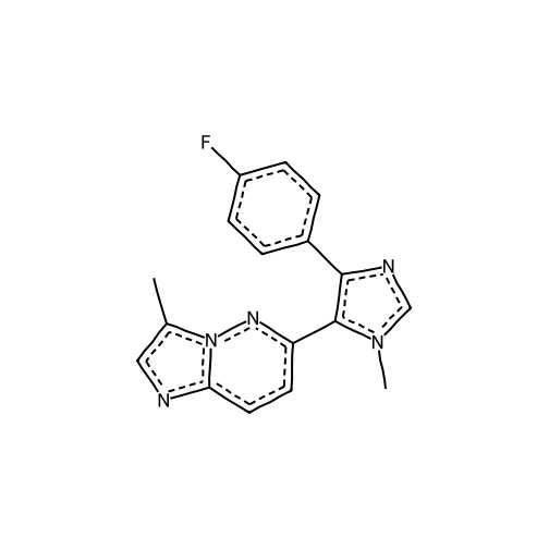 Cc1cnc2ccc(-c3c(-c4ccc(F)cc4)ncn3C)nn12